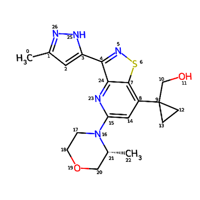 Cc1cc(-c2nsc3c(C4(CO)CC4)cc(N4CCOC[C@H]4C)nc23)[nH]n1